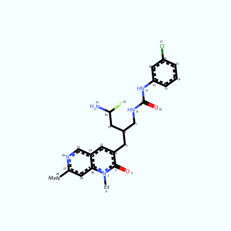 CCn1c(=O)c(CC(CNC(=O)Nc2cccc(Cl)c2)CC(N)F)cc2cnc(NC)cc21